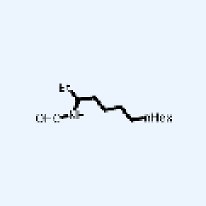 CCCCCCCCCCC(CC)N[C]=O